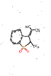 CC1C(=C(C#N)C#N)c2ccccc2S1(=O)=O